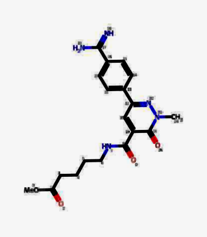 COC(=O)CCCCNC(=O)c1cc(-c2ccc(C(=N)N)cc2)nn(C)c1=O